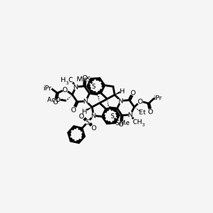 CC[C@@]1(OC(=O)C(C)C)C(=O)N2[C@H]3Cc4ccccc4[C@@]3([C@]34C[C@]5(SSC)C(=O)N(C)[C@](COC(C)=O)(OC(=O)C(C)C)C(=O)N5[C@H]3N(S(=O)(=O)c3ccccc3)c3ccccc34)C[C@]2(SSC)C(=O)N1C